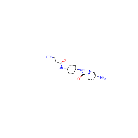 NCCC(=O)NC1CCC(NC(=O)c2ccc(N)cn2)CC1